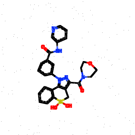 O=C(Nc1cccnc1)c1cccc(-n2nc(C(=O)N3CCOCC3)c3c2-c2ccccc2S(O)(O)C3)c1